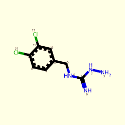 N=C(NN)NCc1ccc(Cl)c(Cl)c1